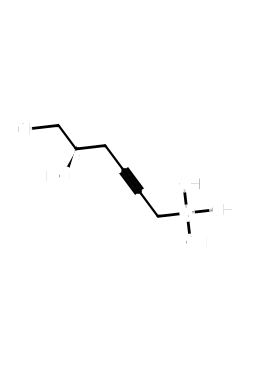 C[Si](C)(C)CC#CC[C@@H](O)CCl